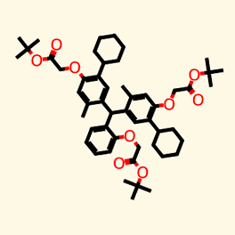 Cc1cc(OCC(=O)OC(C)(C)C)c(C2CCCCC2)cc1C(c1cc(C2CCCCC2)c(OCC(=O)OC(C)(C)C)cc1C)c1ccccc1OCC(=O)OC(C)(C)C